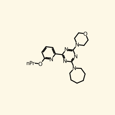 CCCOc1cccc(-c2nc(N3CCCCCC3)nc(N3CCOCC3)n2)n1